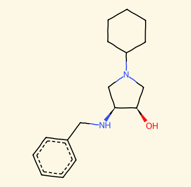 O[C@@H]1CN(C2CCCCC2)C[C@@H]1NCc1ccccc1